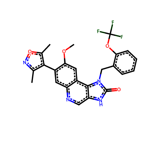 COc1cc2c(cc1-c1c(C)noc1C)ncc1[nH]c(=O)n(Cc3ccccc3OC(F)(F)F)c12